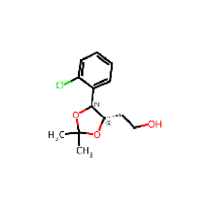 CC1(C)O[C@@H](CCO)[C@H](c2ccccc2Cl)O1